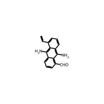 C=Cc1cccc2c(N)c3c(C=O)cccc3c(N)c12